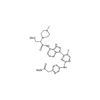 CNC(=O)Cc1ccc(Nc2ncc(F)c(-c3c[nH]c4c(NC(=O)C(COC)N5CCN(C)CC5)cccc34)n2)cn1